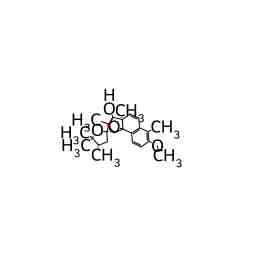 COc1ccc2c(c1C)C=C[C@@]1(C)C23CCC1(O)C(C)C1(C[C@H](C)C(C)(C)O1)O3